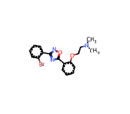 CN(C)CCOc1ccccc1-c1nc(-c2ccccc2Br)no1